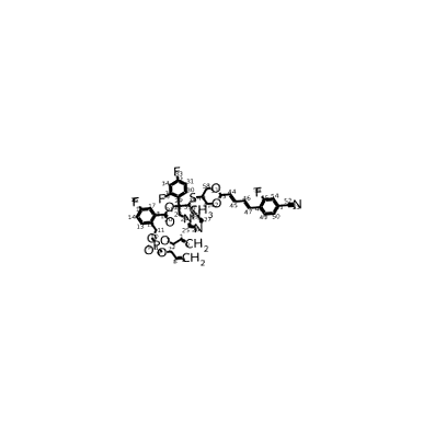 C=CCOP(=O)(OCC=C)OCc1ccc(F)cc1C(=O)OC(Cn1cncn1)(c1ccc(F)cc1F)C(C)SC1COC(C=CC=Cc2ccc(C#N)cc2F)OC1